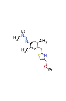 CCN(C)/C=N/c1cc(C)c(Cc2nc(COC(C)C)cs2)cc1C